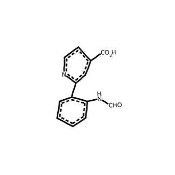 O=CNc1ccccc1-c1cc(C(=O)O)ccn1